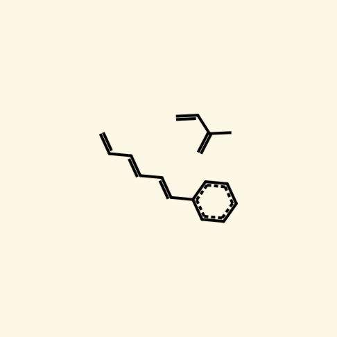 C=CC(=C)C.C=CC=CC=Cc1ccccc1